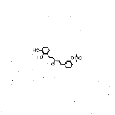 CP(C)(=O)Oc1cccc(/C=C/C(=O)/C=C/c2cccc(O)c2O)c1